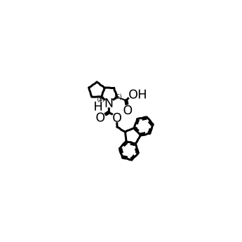 O=C(O)[C@@H]1CC2CCC[C@@H]2N1C(=O)OCC1c2ccccc2-c2ccccc21